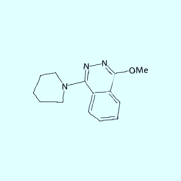 COc1nnc(N2CCCCC2)c2ccccc12